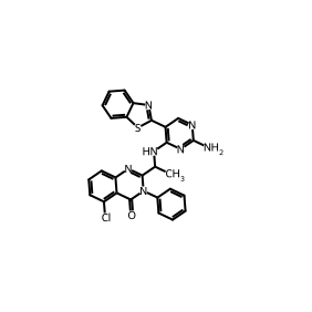 CC(Nc1nc(N)ncc1-c1nc2ccccc2s1)c1nc2cccc(Cl)c2c(=O)n1-c1ccccc1